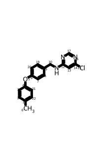 Cc1ccc(Oc2ccc(CNc3cc(Cl)ncn3)cc2)cc1